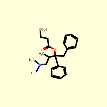 CC(CN(C)C)C(Cc1ccccc1)(OC(=O)CCC(=O)O)c1ccccc1